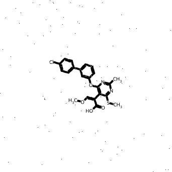 COC=C(C(=O)O)c1c(Oc2cccc(-c3ccc(Cl)cc3)c2)nc(C)nc1SC